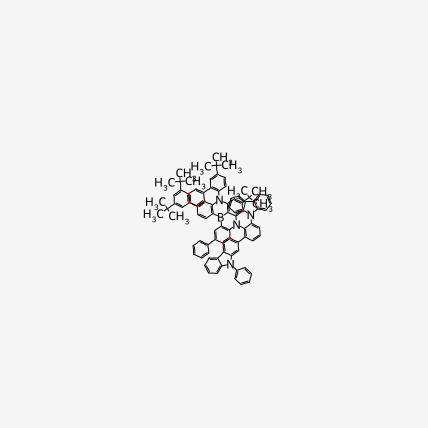 CC(C)(C)c1cc(-c2ccc3c(c2)N(c2ccc(C(C)(C)C)cc2-c2ccccc2)c2cc(C(C)(C)C)cc4c2B3c2cc(-c3ccccc3)ccc2N4c2c(-c3ccc4c5ccccc5n(-c5ccccc5)c4c3)cccc2-n2c3ccccc3c3ccccc32)cc(C(C)(C)C)c1